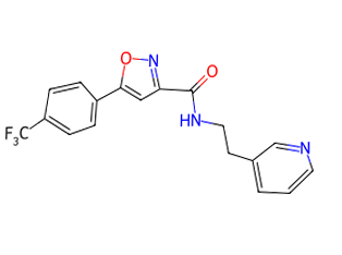 O=C(NCCc1cccnc1)c1cc(-c2ccc(C(F)(F)F)cc2)on1